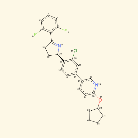 Fc1cccc(F)c1C1=N[C@@H](c2ccc(-c3ccc(OC4CCCC4)nc3)cc2Cl)CC1